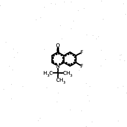 CC(C)(C)n1ccc(=O)c2cc(F)c(F)cc21